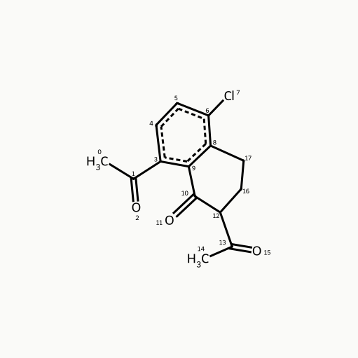 CC(=O)c1ccc(Cl)c2c1C(=O)C(C(C)=O)CC2